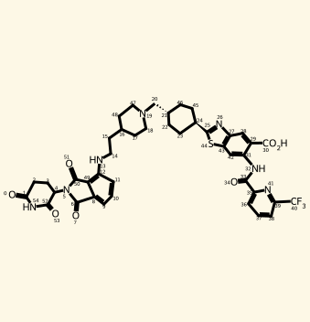 O=C1CCC(N2C(=O)c3cccc(NCCC4CCN(C[C@H]5CC[C@H](c6nc7cc(C(=O)O)c(NC(=O)c8cccc(C(F)(F)F)n8)cc7s6)CC5)CC4)c3C2=O)C(=O)N1